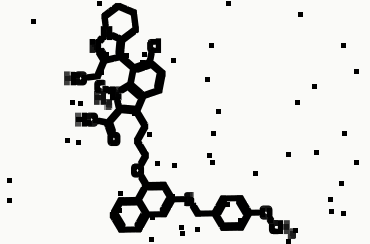 COc1ccc(CSc2cc(OCCCc3c(C(=O)O)n(C)c4c(-c5c(CO)nn6c5CCCC6)c(Cl)ccc34)c3ccccc3c2)cc1